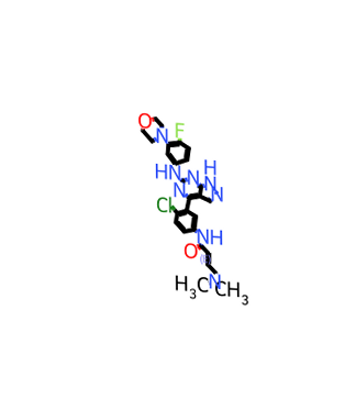 CN(C)C/C=C/C(=O)Nc1ccc(Cl)c(-c2nc(Nc3ccc(F)c(N4CCOCC4)c3)nc3[nH]ncc23)c1